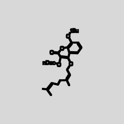 CCCCCCCCCCOc1c(OCC=C(C)CCC=C(C)C)c2cccc(OC(C)(C)C)c2oc1=O